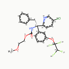 COCCOC(=O)N[C@](Cc1ccccc1)(c1cccc(OC(F)(F)C(F)F)c1)c1ccc(Cl)cn1